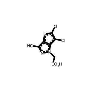 N#Cc1nn(CC(=O)O)c2c(Cl)c(Cl)sc12